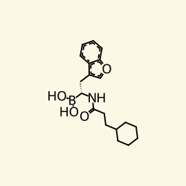 O=C(CCC1CCCCC1)N[C@@H](Cc1coc2ccccc12)B(O)O